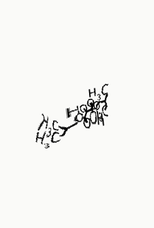 CCC(CC)COC(=O)C(O)C(O)C(=O)OCC(CC)CC